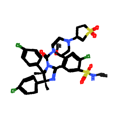 CCOc1cc(Cl)c(S(=O)(=O)NC(C)(C)C)cc1C1=N[C@@](C)(c2ccc(Cl)cc2)[C@@](C)(c2ccc(Cl)cc2)N1C(=O)N1CCN(C2CCS(=O)(=O)C2)CC1